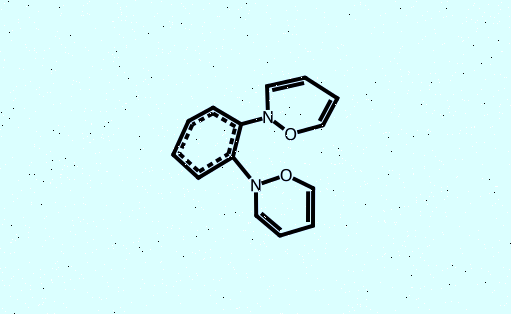 C1=CON(c2ccccc2N2C=CC=CO2)C=C1